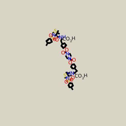 Cc1ccc(S(=O)(=O)N2CSC(C)(C)[C@H]2C(=O)N[C@@H](Cc2ccc(OC(=O)N3CCN(C(=O)Oc4ccc(C[C@H](NC(=O)[C@H]5N(S(=O)(=O)c6ccc(C)cc6)CSC5(C)C)C(=O)O)cc4)CC3)cc2)C(=O)O)cc1